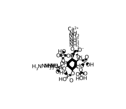 N.N.N.N.N.N.N.N.N.N.O=P([O-])([O-])O[C@@H]1[C@@H](OP(=O)(O)O)[C@H](OP(=O)(O)O)[C@@H](OP(=O)(O)O)[C@H](OP(=O)(O)O)[C@@H]1OP(=O)(O)O.[Ca+2]